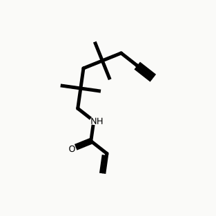 C#CCC(C)(C)CC(C)(C)CNC(=O)C=C